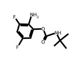 CC(C)(C)NC(=O)Oc1cc(F)cc(F)c1N